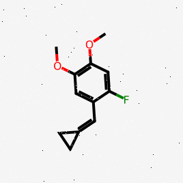 COc1cc(F)c(C=C2CC2)cc1OC